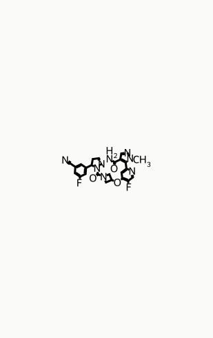 Cn1ncc(C(N)=O)c1-c1cc(OC2CN(C(=O)N3N=CCC3c3cc(F)cc(C#N)c3)C2)c(F)cn1